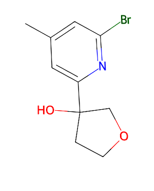 Cc1cc(Br)nc(C2(O)CCOC2)c1